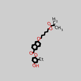 C=C(C)C(=O)OCCCCCCOc1ccc2cc(C(=O)Oc3ccc(O)cc3CC)ccc2c1